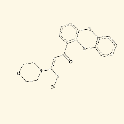 CCSC(=CC(=O)c1cccc2c1Sc1ccccc1S2)N1CCOCC1